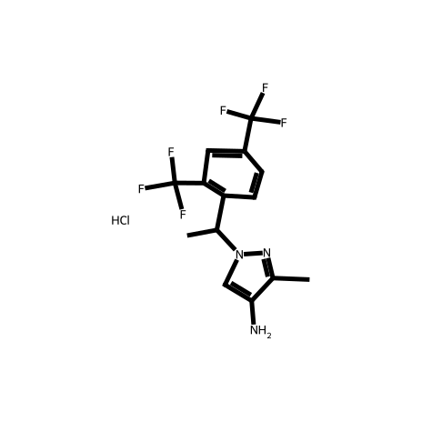 Cc1nn(C(C)c2ccc(C(F)(F)F)cc2C(F)(F)F)cc1N.Cl